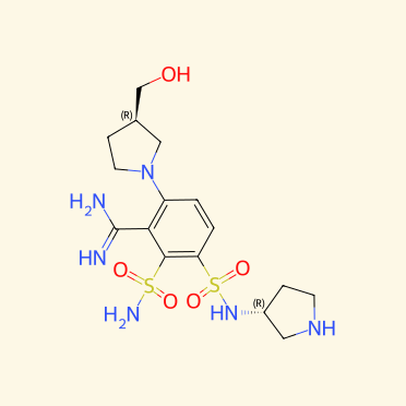 N=C(N)c1c(N2CC[C@@H](CO)C2)ccc(S(=O)(=O)N[C@@H]2CCNC2)c1S(N)(=O)=O